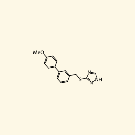 COc1ccc(-c2cccc(CSc3nc[nH]n3)c2)cc1